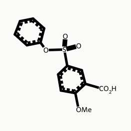 COc1ccc(S(=O)(=O)Oc2ccccc2)cc1C(=O)O